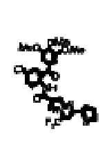 COc1cc(C(=O)c2cc(Cl)ccc2NC(=O)c2cc3nc(-c4cccs4)cc(C(F)(F)F)n3n2)cc(OC)c1OC